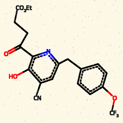 CCOC(=O)CCC(=O)c1nc(Cc2ccc(OC(F)(F)F)cc2)cc(C#N)c1O